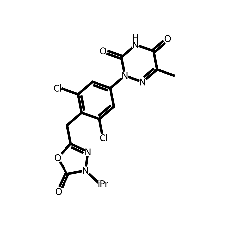 Cc1nn(-c2cc(Cl)c(Cc3nn(C(C)C)c(=O)o3)c(Cl)c2)c(=O)[nH]c1=O